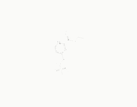 CCOC(=O)c1cc(COS(C)(=O)=O)ccn1